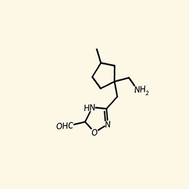 CC1CCC(CN)(CC2=NOC(C=O)N2)C1